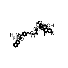 CC1(C)O[C@@H]2C[C@H]3[C@@H]4C[C@H](F)C5=CC(=O)C=C[C@]5(C)[C@@]4(F)[C@@H](O)C[C@]3(C)[C@]2(C(=O)COC(=O)C2CC2C(=O)OCCc2ccc(C(CN)C(=O)Nc3ccc4ccccc4c3)cc2)O1